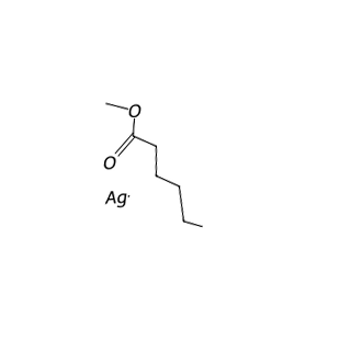 CCCCCC(=O)OC.[Ag]